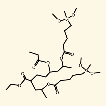 CCOC(=O)C(CCC(CC(C)OC(=O)CCCC[Si](C)(OC)OC)OC(=O)CC)CC(C)OC(=O)CCCC[Si](C)(OC)OC